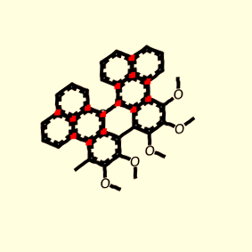 COc1c(C)c(-c2ccccc2)c(P(c2ccccc2)c2ccccc2)c(-c2c(OC)c(OC)c(OC)c(-c3ccccc3)c2P(c2ccccc2)c2ccccc2)c1OC